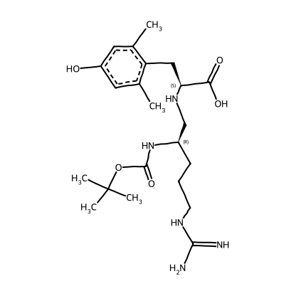 Cc1cc(O)cc(C)c1C[C@H](NC[C@@H](CCCNC(=N)N)NC(=O)OC(C)(C)C)C(=O)O